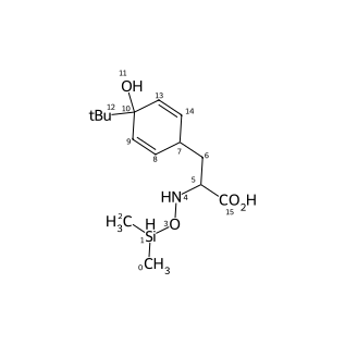 C[SiH](C)ONC(CC1C=CC(O)(C(C)(C)C)C=C1)C(=O)O